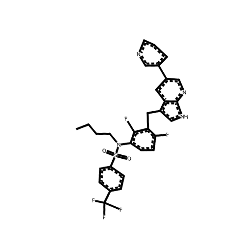 CCCCN(c1ccc(F)c(Cc2c[nH]c3ncc(-c4cccnc4)cc23)c1F)S(=O)(=O)c1ccc(C(F)(F)F)cc1